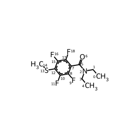 CCN(CC)C(=O)c1c(F)c(F)c(SC)c(F)c1F